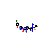 C/N=C(/C(=O)Nc1ccc(Oc2ccc(F)cc2)nc1)c1cc(-c2cncc(NC(=O)C3CC3)c2)ccc1C